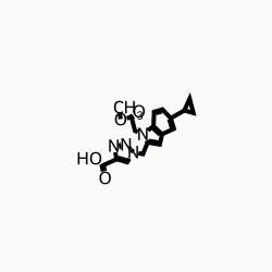 COC(=O)Cn1c(Cn2cc(C(=O)O)nn2)cc2cc(C3CC3)ccc21